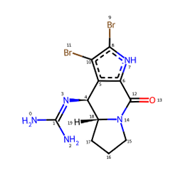 NC(N)=N[C@H]1c2c([nH]c(Br)c2Br)C(=O)N2CCC[C@H]12